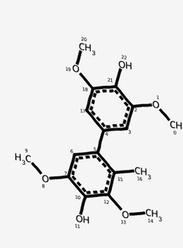 COc1cc(-c2cc(OC)c(O)c(OC)c2C)cc(OC)c1O